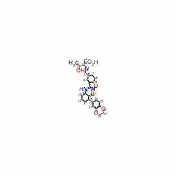 CC(O)C(N=Cc1ccc2onc(Nc3cccc(-c4ccc5c(c4)OCCO5)c3Br)c2c1)C(=O)O